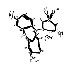 O=S1(=O)C[C@H](O)[C@H](O)[C@@H](N2c3ccc(C(F)(F)F)cc3Oc3cc(C(F)(F)F)ccc32)C1